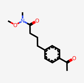 CON(C)C(=O)CCCc1ccc(C(C)=O)cc1